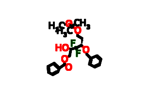 COC(C)(C)OCC[C@H](OCc1ccccc1)C(F)(F)[C@H](O)COC(=O)c1ccccc1